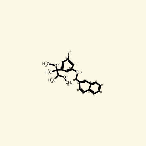 COC(C)C(C)(OC)c1cc(F)cc(OCc2ccc3ccccc3c2)c1